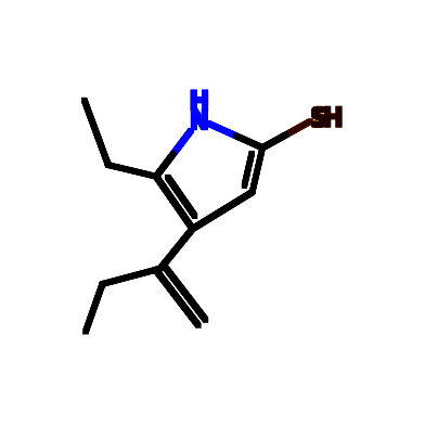 C=C(CC)c1cc(S)[nH]c1CC